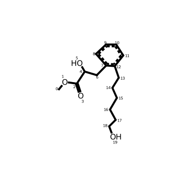 COC(=O)C(O)Cc1ccccc1CCCCCCO